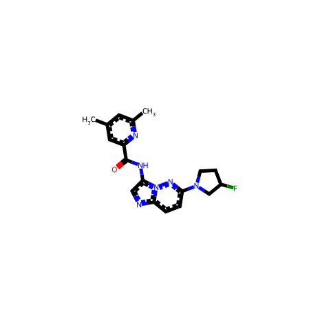 Cc1cc(C)nc(C(=O)Nc2cnc3ccc(N4CCC(F)C4)nn23)c1